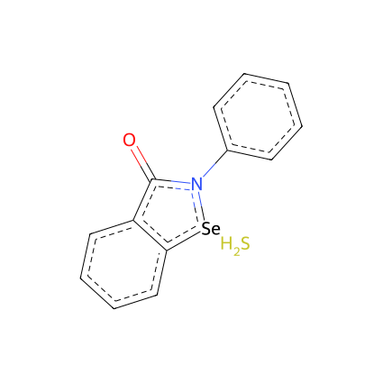 O=c1c2ccccc2[se]n1-c1ccccc1.S